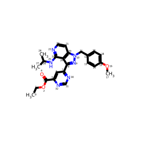 CCOC(=O)c1cc(-c2nn(Cc3ccc(OC)cc3)c3ccnc(NC(C)C)c23)ncn1